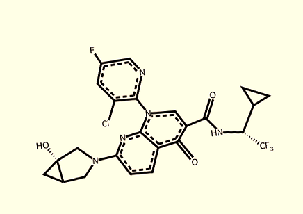 O=C(N[C@H](C1CC1)C(F)(F)F)c1cn(-c2ncc(F)cc2Cl)c2nc(N3CC4C[C@@]4(O)C3)ccc2c1=O